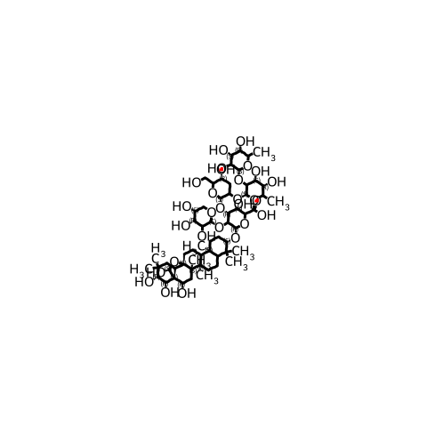 CC1O[C@@H](OC2[C@H](OC3C[C@@H](O)C(CO)O[C@H]3O[C@H]3C(O[C@@H]4OC[C@H](O)[C@@H](O)C4O)[C@H](O[C@H]4CC[C@@]5(C)C(CC[C@]6(C)C5CC[C@]57O[C@H](O)[C@]8(C5CC(C)(C)[C@@H](O)[C@@H]8O)[C@H](O)C[C@]76C)C4(C)C)OC(C(=O)O)[C@H]3O)OC(C)[C@H](O)[C@@H]2O)C(O)[C@@H](O)[C@H]1O